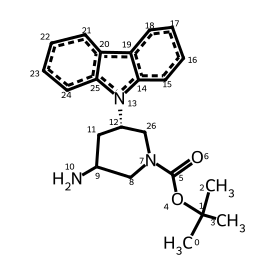 CC(C)(C)OC(=O)N1CC(N)C[C@H](n2c3ccccc3c3ccccc32)C1